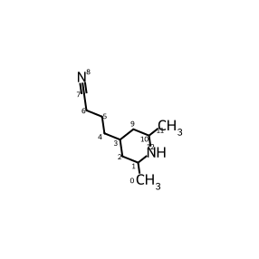 CC1CC(CCCC#N)CC(C)N1